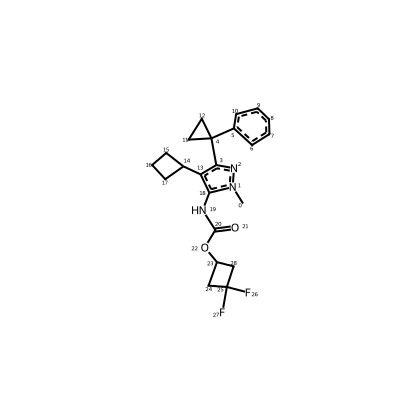 Cn1nc(C2(c3ccccc3)CC2)c(C2CCC2)c1NC(=O)OC1CC(F)(F)C1